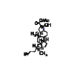 COC(=O)CC[C@@]1(C)/C(=N/O)CC[C@H]2[C@@H]3CC[C@H]([C@H](C)CCCC(C)C)[C@@]3(C)CC[C@@H]21